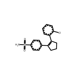 NS(=O)(=O)c1ccc(C2=C(c3ccccc3Cl)CCC2)cc1